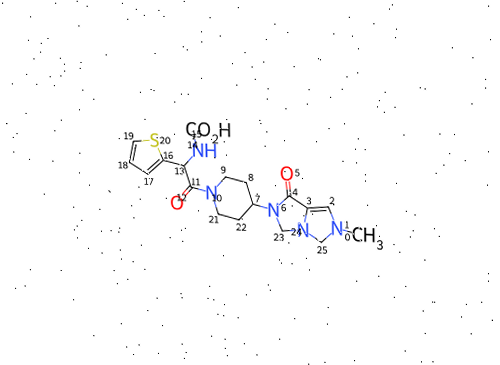 CN1C=C2C(=O)N(C3CCN(C(=O)C(NC(=O)O)c4cccs4)CC3)CN2C1